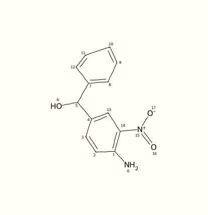 Nc1ccc(C(O)c2ccccc2)cc1[N+](=O)[O-]